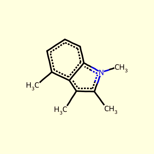 Cc1cccc2c1c(C)c(C)n2C